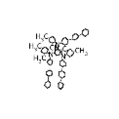 Cc1ccc(N(c2ccc(-c3ccc(-c4ccccc4)cc3)cc2)c2cc(N(c3ccc(-c4ccc(-c5ccccc5)cc4)cc3)c3ccc(C)cc3C)cc(N(c3ccc(-c4ccc(-c5ccccc5)cc4)cc3)c3ccc(C)cc3C)c2)c(C)c1